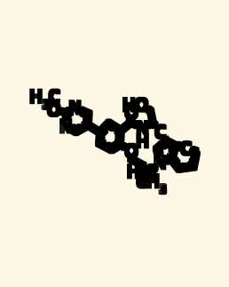 CCCOc1ccc(-c2cnc(OC)nc2)cc1C(=O)NC(CO)Cc1cn(C)c2ccccc12